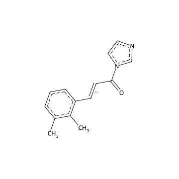 Cc1cccc(/C=C/C(=O)n2ccnc2)c1C